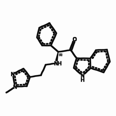 Cn1cc(CCN[C@H](C(=O)c2c[nH]c3ccccc23)c2ccccc2)cn1